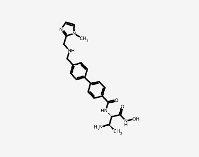 C[C@@H](N)[C@H](NC(=O)c1ccc(-c2ccc(CNCc3nccn3C)cc2)cc1)C(=O)NO